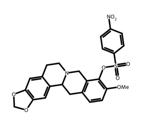 COc1ccc2c(c1OS(=O)(=O)c1ccc([N+](=O)[O-])cc1)CN1CCc3cc4c(cc3C1C2)OCO4